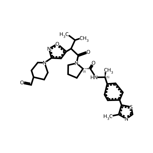 Cc1ncsc1-c1ccc([C@H](C)NC(=O)[C@@H]2CCCN2C(=O)C(c2cc(N3CCC(C=O)CC3)no2)C(C)C)cc1